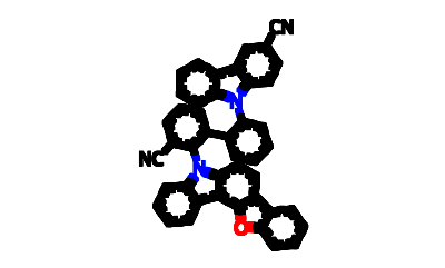 N#Cc1ccc2c(c1)c1ccccc1n2-c1ccccc1-c1cccc(C#N)c1-n1c2ccccc2c2c3oc4ccccc4c3ccc21